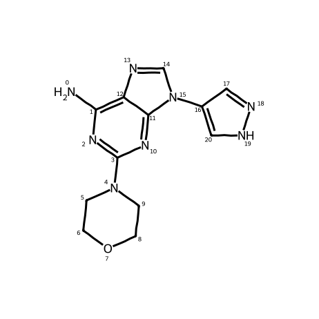 Nc1nc(N2CCOCC2)nc2c1ncn2-c1cn[nH]c1